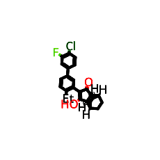 CCc1ccc(-c2ccc(Cl)c(F)c2)cc1C1=C(O)[C@H]2[C@H]3CC[C@H](CC3)[C@H]2C1=O